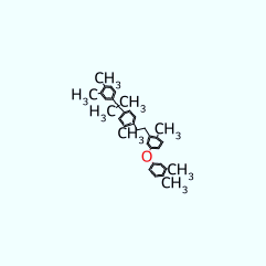 Cc1ccc(Oc2ccc(C)c(CCc3ccc(C(C)(C)c4ccc(C)c(C)c4)cc3C)c2)cc1C